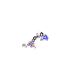 CC(C)n1nnnc1-c1cccc(NC(=O)c2ccc3c(c2)CN(S(=O)(=O)N(C)C)C3)n1